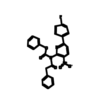 O=C(Cc1ccccc1)N(C(=O)Oc1ccccc1)c1nc(-c2ccc(F)cc2)ccc1[N+](=O)[O-]